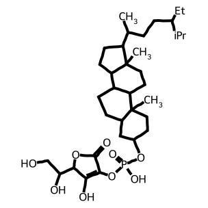 CCC(CCC(C)C1CCC2C3CCC4CC(OP(=O)(O)OC5=C(O)C(C(O)CO)OC5=O)CCC4(C)C3CCC12C)C(C)C